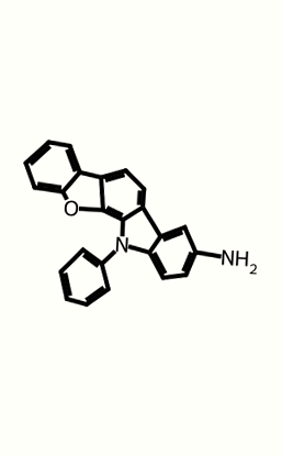 Nc1ccc2c(c1)c1ccc3c4ccccc4oc3c1n2-c1ccccc1